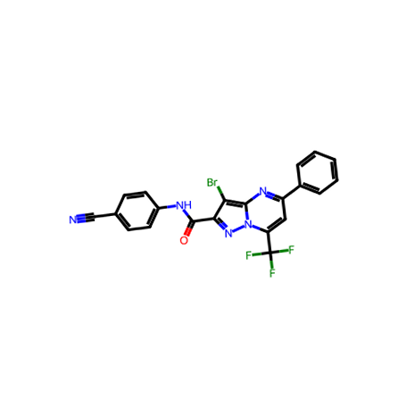 N#Cc1ccc(NC(=O)c2nn3c(C(F)(F)F)cc(-c4ccccc4)nc3c2Br)cc1